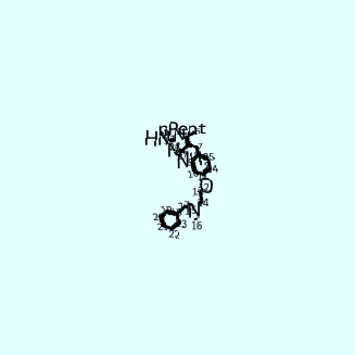 CCCCCNc1nc(C)c(Cc2ccc(OCCN(C)Cc3ccccc3)cc2)c(N)n1